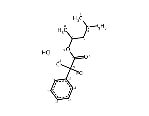 CC(CN(C)C)OC(=O)C(Cl)(Cl)c1ccccc1.Cl